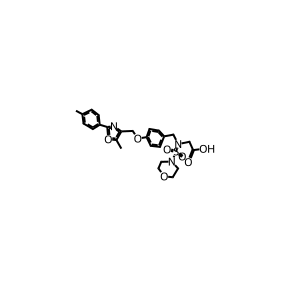 Cc1ccc(-c2nc(COc3ccc(CN(CC(=O)O)S(=O)(=O)N4CCOCC4)cc3)c(C)o2)cc1